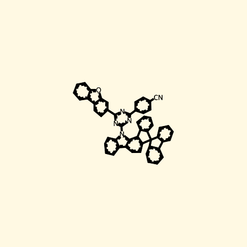 N#Cc1ccc(-c2nc(-c3ccc4c(c3)oc3ccccc34)nc(-n3c4ccccc4c4ccc5c(c43)-c3ccccc3C53c4ccccc4-c4ccccc43)n2)cc1